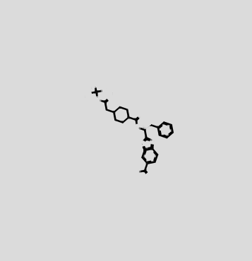 CC(C)(C)OC(=O)CC1CCC(C(=O)N[C@@H](Cc2ccccc2)c2nc3cc(C(=O)O)ccc3[nH]2)CC1